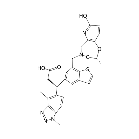 Cc1c([C@@H](CC(=O)O)c2cc(CN3Cc4nc(O)ccc4O[C@H](C)C3)c3sccc3c2)ccc2c1nnn2C